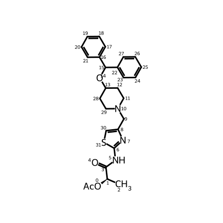 CC(=O)O[C@H](C)C(=O)Nc1nc(CN2CCC(OC(c3ccccc3)c3ccccc3)CC2)cs1